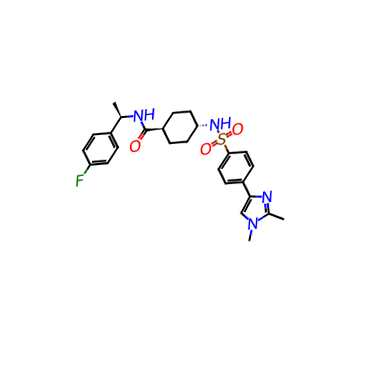 Cc1nc(-c2ccc(S(=O)(=O)N[C@H]3CC[C@H](C(=O)N[C@H](C)c4ccc(F)cc4)CC3)cc2)cn1C